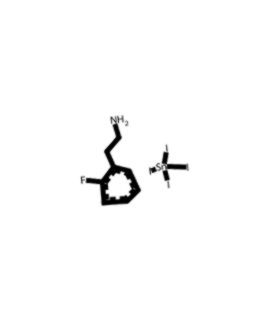 NCCc1ccccc1F.[I][Sn]([I])([I])[I]